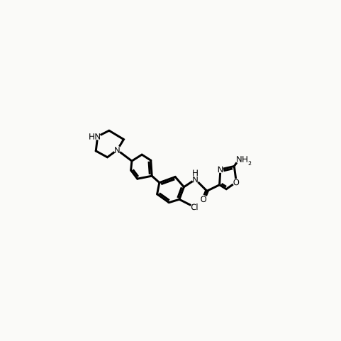 Nc1nc(C(=O)Nc2cc(C3=CCC(N4CCNCC4)C=C3)ccc2Cl)co1